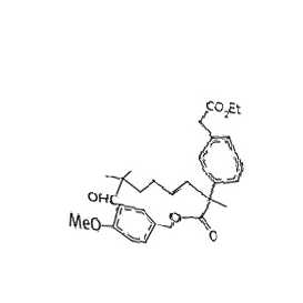 CCOC(=O)Cc1cccc(C(C)(CCCCC(C)(C)C=O)C(=O)OCc2ccc(OC)cc2)c1